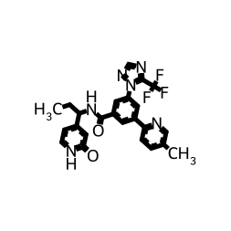 CCC(NC(=O)c1cc(-c2ccc(C)cn2)cc(-n2ncnc2C(F)(F)F)c1)c1cc[nH]c(=O)c1